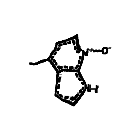 Cc1cc[n+]([O-])c2[nH]ccc12